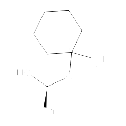 CCC[C@@H](O)OC1(C)CCCCC1